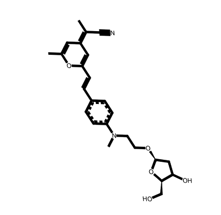 CC1=C/C(=C(\C)C#N)C=C(/C=C/c2ccc(N(C)CCO[C@H]3CC(O)[C@@H](CO)O3)cc2)O1